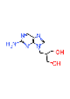 Nc1ncc2ncn(CC(CO)CO)c2n1